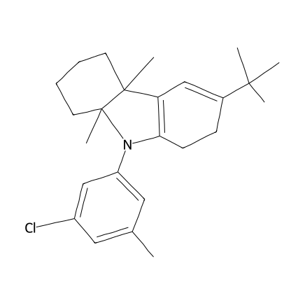 Cc1cc(Cl)cc(N2C3=C(C=C(C(C)(C)C)CC3)C3(C)CCCCC23C)c1